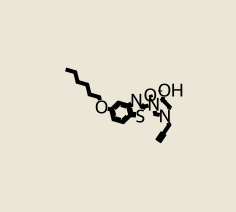 C#CCN1CC(O)[N+]([O-])(c2nc3cc(OCCCCCC)ccc3s2)C1